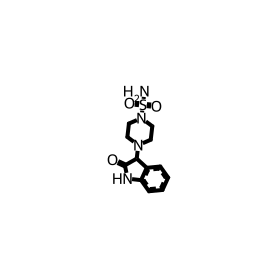 NS(=O)(=O)N1CCN(C2C(=O)Nc3ccccc32)CC1